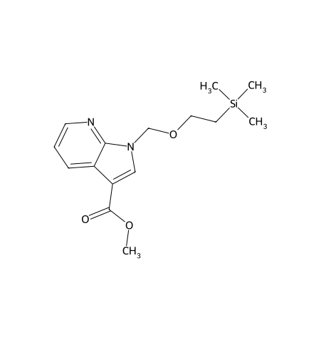 COC(=O)c1cn(COCC[Si](C)(C)C)c2ncccc12